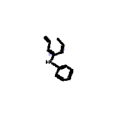 C=C/C=C(\C=C/C)Pc1ccccc1